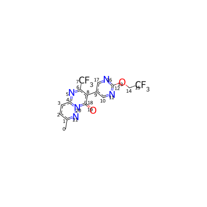 Cc1ccc2nc(C(F)(F)F)c(-c3cnc(OCC(F)(F)F)nc3)c(=O)n2n1